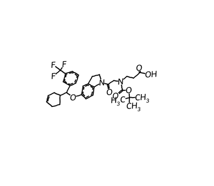 CC(C)(C)OC(=O)N(CCC(=O)O)CC(=O)N1CCc2cc(OC(c3cccc(C(F)(F)F)c3)C3CC=CCC3)ccc21